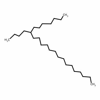 [CH2]CCCC(CCCCCCC)CCCCCCCCCCCCCCC